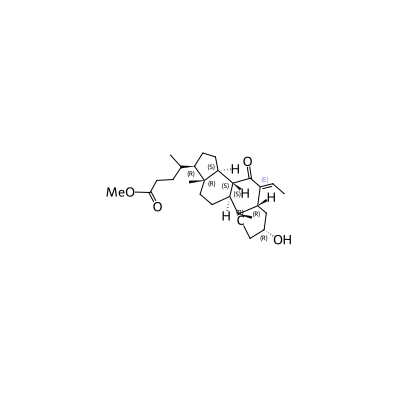 C/C=C1/C(=O)[C@@H]2[C@H](CC[C@]3(C)[C@@H](C(C)CCC(=O)OC)CC[C@@H]23)[C@@]2(C)CC[C@@H](O)C[C@@H]12